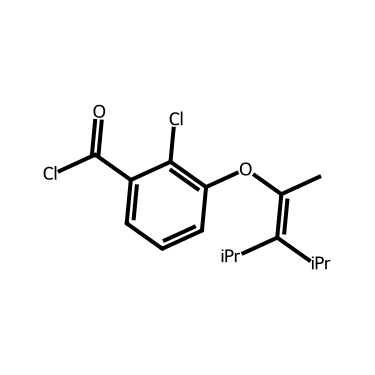 CC(Oc1cccc(C(=O)Cl)c1Cl)=C(C(C)C)C(C)C